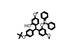 COc1ccc(C(c2ccc(OC(C)(C)C)cc2)c2ccc(OC)cc2O[SiH](c2ccccc2)c2ccccc2)c(O)c1